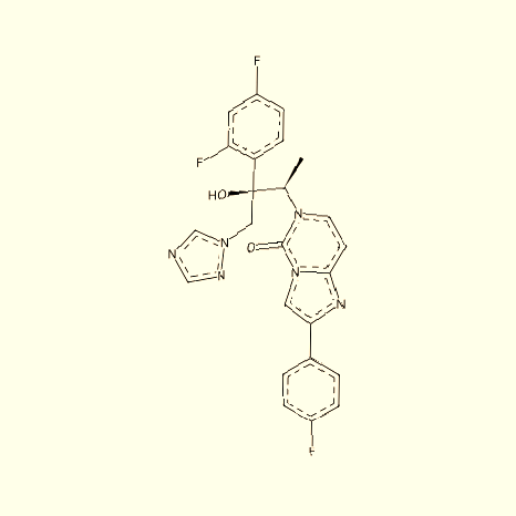 C[C@@H](n1ccc2nc(-c3ccc(F)cc3)cn2c1=O)[C@](O)(Cn1cncn1)c1ccc(F)cc1F